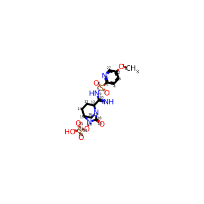 COc1ccc(S(=O)(=O)NC(=N)C2CCC3CN2C(=O)N3OS(=O)(=O)O)nc1